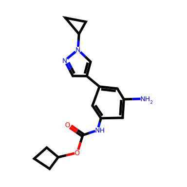 Nc1cc(NC(=O)OC2CCC2)cc(-c2cnn(C3CC3)c2)c1